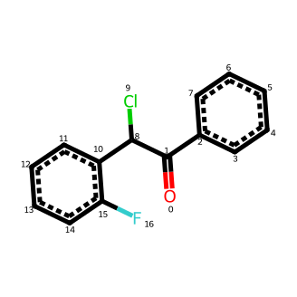 O=C(c1ccccc1)C(Cl)c1ccccc1F